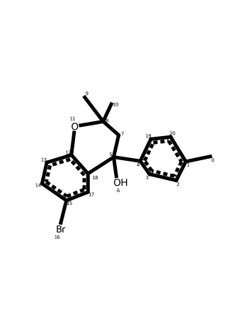 Cc1ccc(C2(O)CC(C)(C)Oc3ccc(Br)cc32)cc1